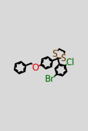 Clc1ccc(Br)cc1C1(c2ccc(OCc3ccccc3)cc2)SCCS1